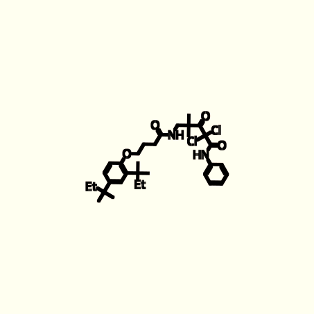 CCC(C)(C)c1ccc(OCCCC(=O)NCC(C)(C)C(=O)C(Cl)(Cl)C(=O)Nc2ccccc2)c(C(C)(C)CC)c1